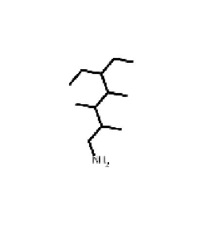 CCC(CC)C(C)C(C)C(C)CN